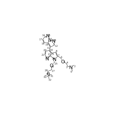 CN(C)CCOCc1cc2c(-c3cnn4ncccc34)ccnc2n1COCC[Si](C)(C)C